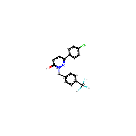 O=c1ccc(-c2ccc(Cl)cc2)nn1Cc1ccc(C(F)(F)F)cc1